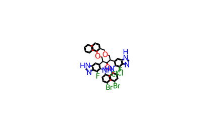 O=C(C(COCc1ccccc1)c1cc2[nH]cnc2c(F)c1Nc1ccc(Br)cc1Cl)C(COCc1ccccc1)c1cc2[nH]cnc2c(F)c1Nc1ccc(Br)cc1Cl